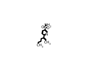 CC=C(CCCC)c1ccc(S(N)(=O)=O)cn1